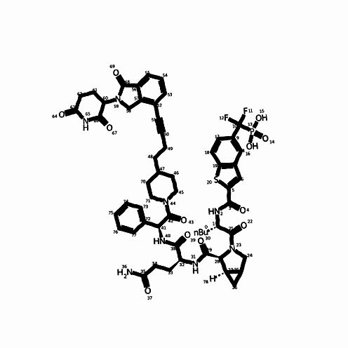 CCCC[C@H](NC(=O)c1cc2cc(C(F)(F)P(=O)(O)O)ccc2s1)C(=O)N1CC2C[C@H]2[C@H]1C(=O)N[C@@H](CCC(N)=O)C(=O)N[C@H](C(=O)N1CCC(CCC#Cc2cccc3c2CN(C2CCC(=O)NC2=O)C3=O)CC1)c1ccccc1